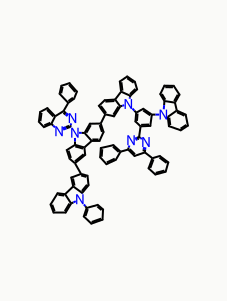 c1ccc(-c2cc(-c3ccccc3)nc(-c3cc(-n4c5ccccc5c5ccccc54)cc(-n4c5ccccc5c5ccc(-c6ccc7c8cc(-c9ccc%10c(c9)c9ccccc9n%10-c9ccccc9)ccc8n(-c8nc(-c9ccccc9)c9ccccc9n8)c7c6)cc54)c3)n2)cc1